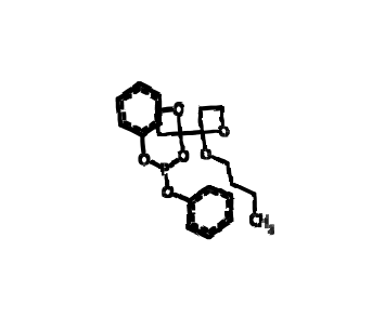 CCCCOC1(C2(OP(Oc3ccccc3)Oc3ccccc3)CCO2)CCO1